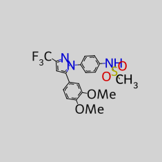 COc1ccc(-c2cc(C(F)(F)F)nn2-c2ccc(NS(C)(=O)=O)cc2)cc1OC